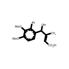 CCOC(=O)C=C(C)C(O)c1ccc(OC)c(OC)c1C(C)C